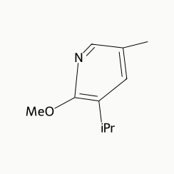 COc1ncc(C)cc1C(C)C